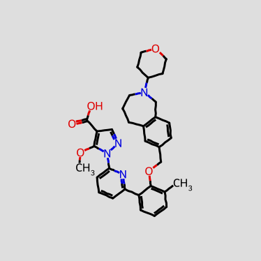 COc1c(C(=O)O)cnn1-c1cccc(-c2cccc(C)c2OCc2ccc3c(c2)CCCN(C2CCOCC2)C3)n1